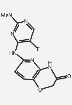 CNc1ncc(F)c(Nc2ccc3c(n2)NC(=O)CO3)n1